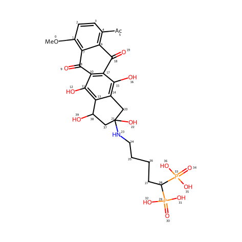 COc1ccc(C(C)=O)c2c1C(=O)c1c(O)c3c(c(O)c1C2=O)CC(O)(NCCCCC(P(=O)(O)O)P(=O)(O)O)CC3O